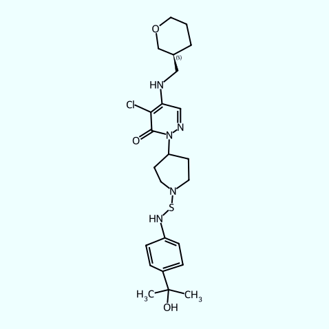 CC(C)(O)c1ccc(NSN2CCC(n3ncc(NC[C@@H]4CCCOC4)c(Cl)c3=O)CC2)cc1